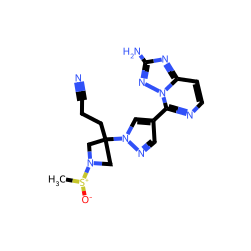 C[S+]([O-])N1CC(CCC#N)(n2cc(-c3nccc4nc(N)nn34)cn2)C1